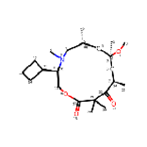 CO[C@]1(C)C[C@@H](C)CN(C)[C@H](C2CCC2)COC(=O)C(C)(C)C(=O)[C@H](C)C1